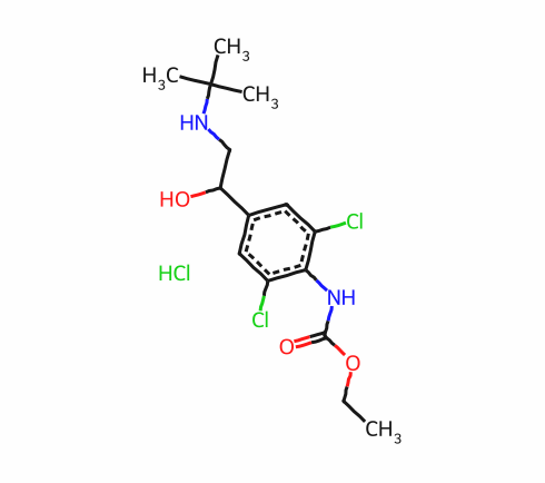 CCOC(=O)Nc1c(Cl)cc(C(O)CNC(C)(C)C)cc1Cl.Cl